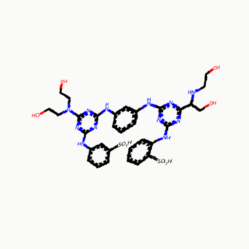 O=S(=O)(O)c1cccc(Nc2nc(Nc3cccc(Nc4nc(Nc5ccccc5S(=O)(=O)O)nc(C(CO)NCCO)n4)c3)nc(N(CCO)CCO)n2)c1